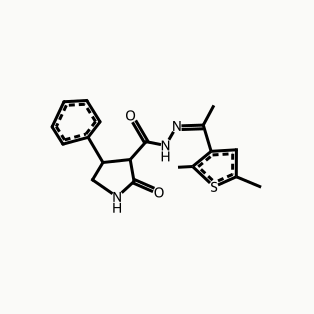 C/C(=N/NC(=O)C1C(=O)NCC1c1ccccc1)c1cc(C)sc1C